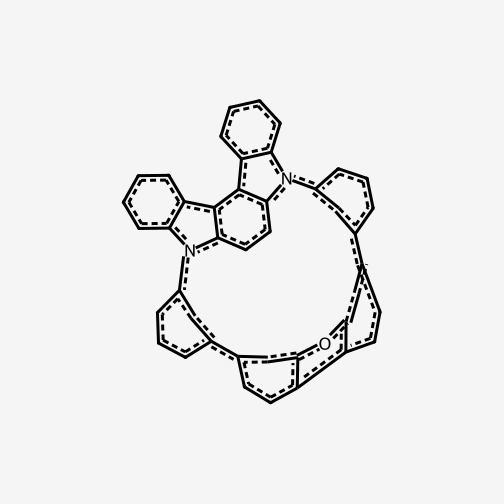 c1ccc2c(c1)c1c3c4ccccc4n4c5cccc(c5)c5ccc6c(c5)oc5cc(ccc56)c5cccc(c5)n2c1ccc34